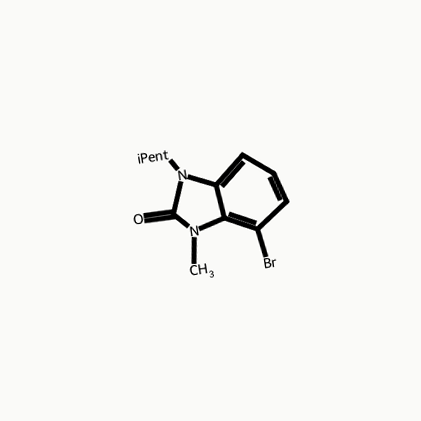 CCCC(C)n1c(=O)n(C)c2c(Br)cccc21